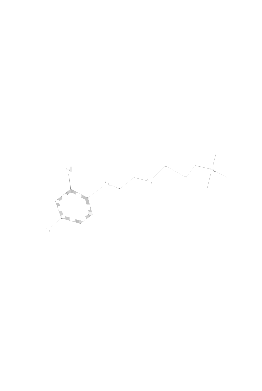 C[N+](C)(C)CCCNCCNc1ccc(N)cc1N